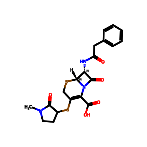 CN1CCC(SC2=C(C(=O)O)N3C(=O)[C@@H](NC(=O)Cc4ccccc4)[C@H]3SC2)C1=O